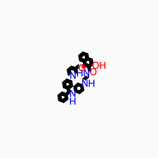 O=C(NCCNC1CCC(NC(c2ccccc2)c2ccccc2)CC1)c1c(O)cc2ccccc2c1OCc1cccnc1